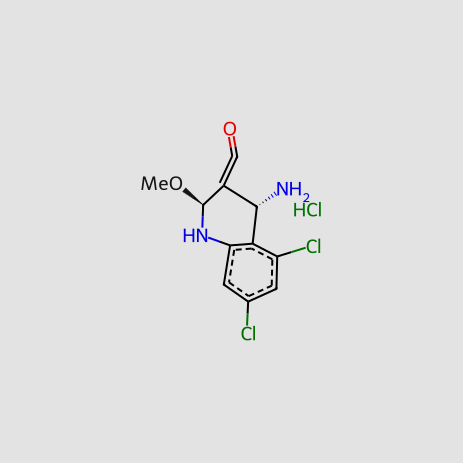 CO[C@@H]1Nc2cc(Cl)cc(Cl)c2[C@@H](N)C1=C=O.Cl